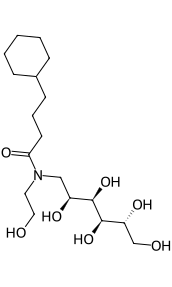 O=C(CCCC1CCCCC1)N(CCO)C[C@H](O)[C@@H](O)[C@H](O)[C@H](O)CO